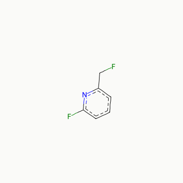 FCc1cccc(F)n1